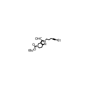 CCC#CCCCn1nc2c(c1C=O)CN(C(=O)OC(C)(C)C)CC2